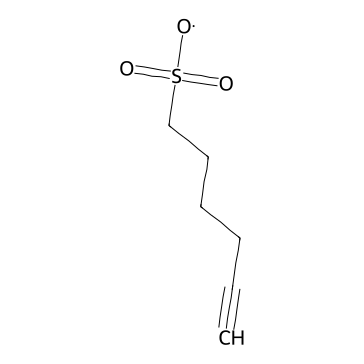 C#CCCCCS([O])(=O)=O